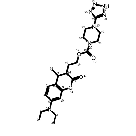 CCN(CC)c1ccc2c(c1)OC(=O)C(CCOC(=O)N1CCN(c3nn[nH]n3)CC1)C2C